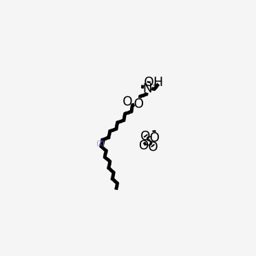 CCCCCCCC/C=C\CCCCCCCC(=O)OCC[N+](C)(O)CC.COS(=O)(=O)[O-]